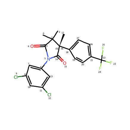 CC1(C)C(=O)N(c2cc(Cl)cc(Cl)c2)C(=O)[C@@]1(C)c1ccc(C(F)(F)F)cc1